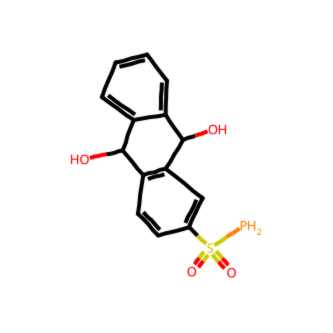 O=S(=O)(P)c1ccc2c(c1)C(O)c1ccccc1C2O